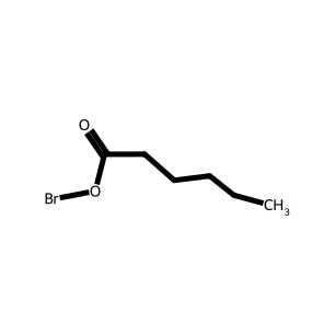 CCCCCC(=O)OBr